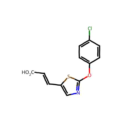 O=C(O)C=Cc1cnc(Oc2ccc(Cl)cc2)s1